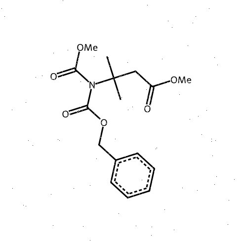 COC(=O)CC(C)(C)N(C(=O)OC)C(=O)OCc1ccccc1